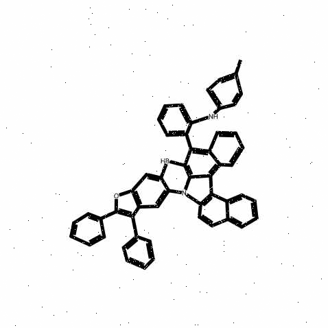 Cc1ccc(Nc2ccccc2-c2c3c4c(c5ccccc25)c2c5ccccc5ccc2n4-c2cc4c(-c5ccccc5)c(-c5ccccc5)oc4cc2B3)cc1